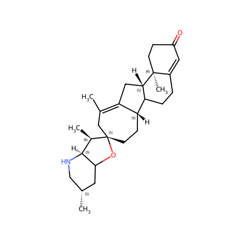 CC1=C2C[C@H]3C(CCC4=CC(=O)CC[C@@]43C)[C@@H]2CC[C@@]2(C1)OC1C[C@H](C)CN[C@H]1[C@H]2C